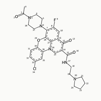 CC(=O)N1CCN(c2c(F)cc3c(=O)c(C(=O)NCCN4CCCC4)cn4c3c2Oc2ccc(Cl)cc2-4)CC1